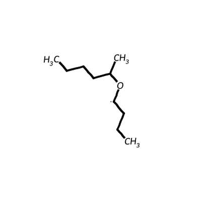 CCC[CH]OC(C)CCCC